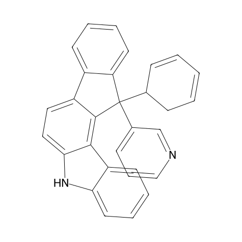 C1=CCC(C2(c3cccnc3)c3ccccc3-c3ccc4[nH]c5ccccc5c4c32)C=C1